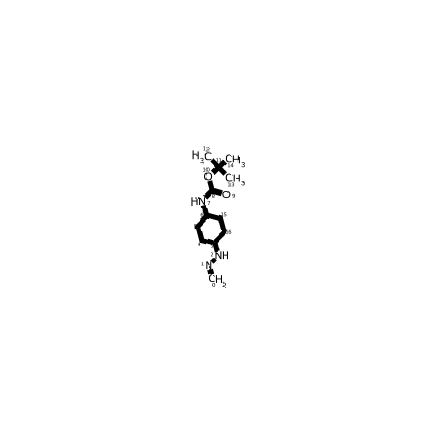 C=NNC1CCC(NC(=O)OC(C)(C)C)CC1